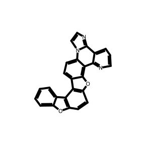 c1ccc2c(c1)oc1ccc3oc4c(ccc5c4c4ncccc4c4nccn54)c3c12